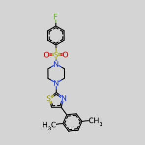 Cc1ccc(C)c(-c2csc(N3CCN(S(=O)(=O)c4ccc(F)cc4)CC3)n2)c1